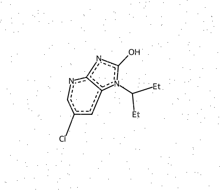 CCC(CC)n1c(O)nc2ncc(Cl)cc21